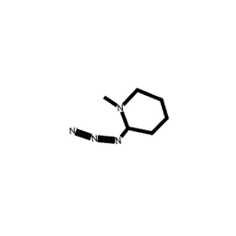 CN1CCCCC1N=[N+]=[N-]